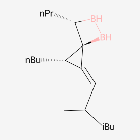 CCCC[C@H]1/C(=C\C(C)C(C)CC)[C@]12BB[C@H]2CCC